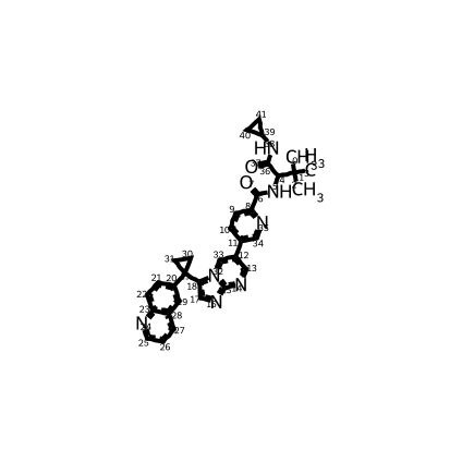 CC(C)(C)C(NC(=O)c1ccc(-c2cnc3ncc(C4(c5ccc6ncccc6c5)CC4)n3c2)cn1)C(=O)NC1CC1